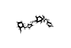 Cc1cc(S(=O)(=O)Nc2cscn2)c(F)cc1N[C@H]1CCN(Cc2ccccc2F)C1